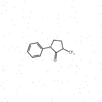 O=C1C(C(F)(F)F)CCN1c1ccccc1